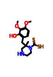 COc1ccc(CC2(C)CNCCN2C(=S)S)c(O)c1OC